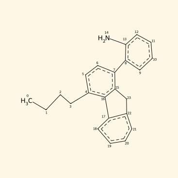 CCCCc1ccc(-c2ccccc2N)c2c1-c1ccccc1C2